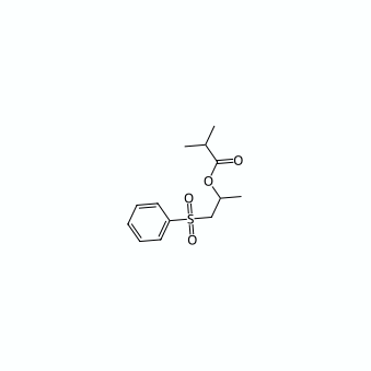 CC(CS(=O)(=O)c1ccccc1)OC(=O)C(C)C